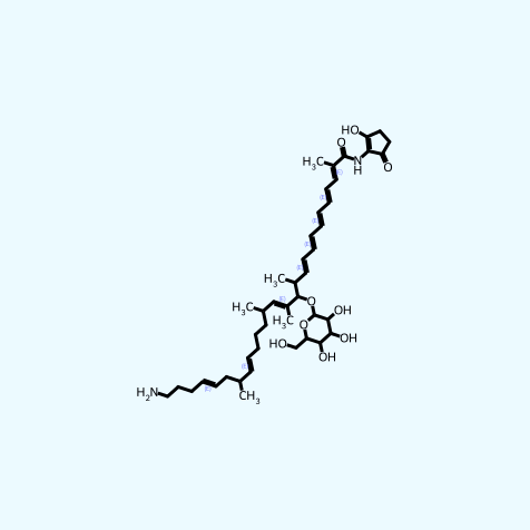 C\C(=C/C=C/C=C/C=C/C=C/C(C)C(OC1OC(CO)C(O)C(O)C1O)/C(C)=C/C(C)CCC/C=C/C(C)C/C=C/CCCN)C(=O)NC1=C(O)CCC1=O